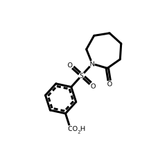 O=C(O)c1cccc(S(=O)(=O)N2CCCCCC2=O)c1